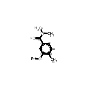 CCOc1cc(C(=O)N(C)C)ccc1C